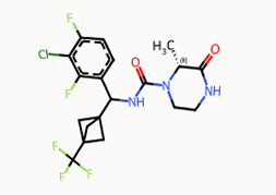 C[C@@H]1C(=O)NCCN1C(=O)NC(c1ccc(F)c(Cl)c1F)C12CC(C(F)(F)F)(C1)C2